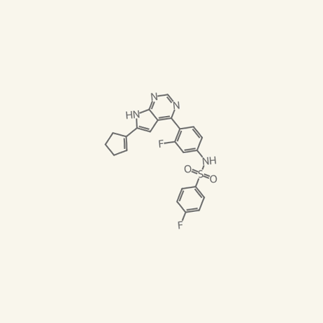 O=S(=O)(Nc1ccc(-c2ncnc3[nH]c(C4=CCCC4)cc23)c(F)c1)c1ccc(F)cc1